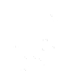 Cc1cccc2c1nc(C(N)=O)n2N(C)c1ccnc(Nc2cccc(S(=O)(=O)N3CCOCC3)c2)n1